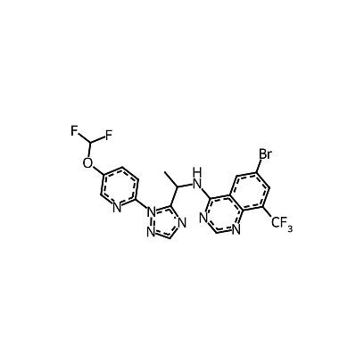 CC(Nc1ncnc2c(C(F)(F)F)cc(Br)cc12)c1ncnn1-c1ccc(OC(F)F)cn1